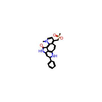 CN1C=CC(CS(C)(=O)=O)=c2ccc3c4c([nH]c(=O)c-4c21)=CC(c1ccccc1)N3